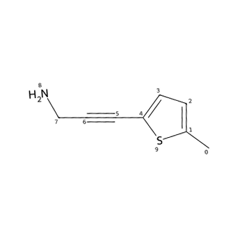 Cc1ccc(C#CCN)s1